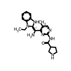 CCN1/C(=C(\N)c2nc(NC(=O)C3CCNC3)ncc2C)Nc2ccccc21